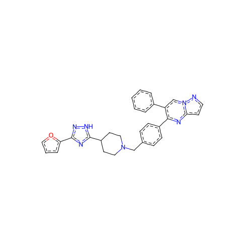 c1ccc(-c2cn3nccc3nc2-c2ccc(CN3CCC(c4nc(-c5ccco5)n[nH]4)CC3)cc2)cc1